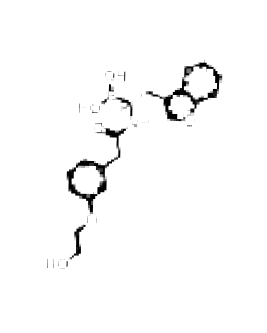 O=C(Cc1cccc(OCCO)c1)N[C@@H](Cc1coc2ccccc12)B(O)O